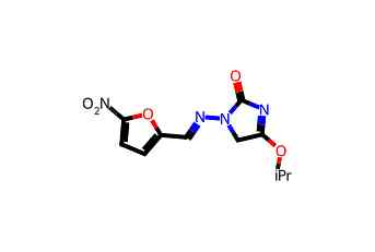 CC(C)OC1=NC(=O)N(/N=C/c2ccc([N+](=O)[O-])o2)C1